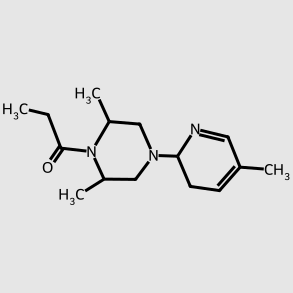 CCC(=O)N1C(C)CN(C2CC=C(C)C=N2)CC1C